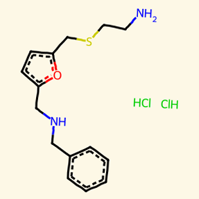 Cl.Cl.NCCSCc1ccc(CNCc2ccccc2)o1